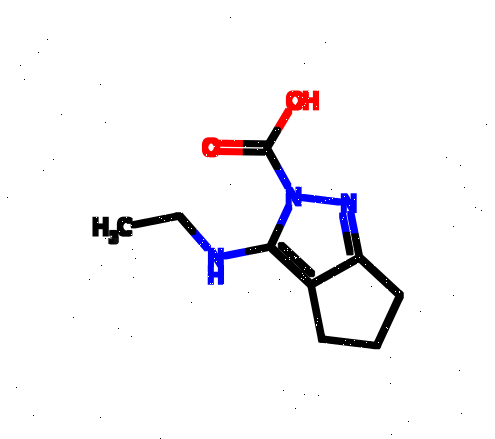 CCNc1c2c(nn1C(=O)O)CCC2